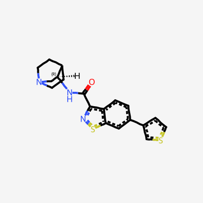 O=C(N[C@H]1CN2CCC1CC2)c1nsc2cc(-c3ccsc3)ccc12